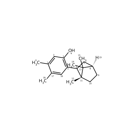 Cc1cc(O)c(C2C[C@H]3CC[C@@]2(C)C3(C)C)cc1C